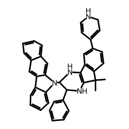 CC1(C)C2=C(NC(n3c4ccccc4c4cc5ccccc5cc43)C(c3ccccc3)N2)c2cc(C3=CCNC=C3)ccc21